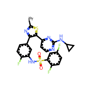 CC(C)c1nc(-c2ccc(F)c(NS(=O)(=O)c3cc(F)ccc3F)c2)c(-c2ccnc(NC3CC3)n2)s1